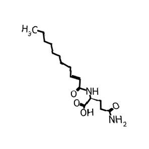 CCCCCCCCC=CC(=O)N[C@@H](CCC(N)=O)C(=O)O